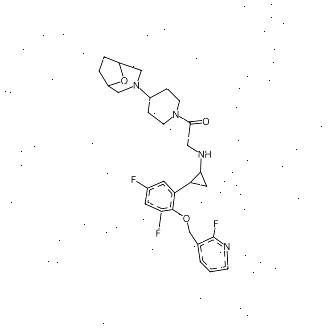 O=C(CNC1CC1c1cc(F)cc(F)c1OCc1cccnc1F)N1CCC(N2CC3CCC(C2)O3)CC1